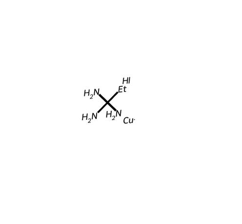 CCC(N)(N)N.I.[Cu]